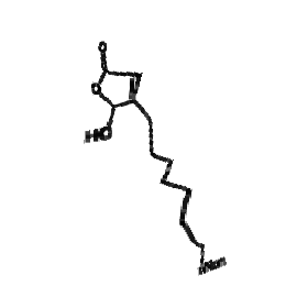 CCCCCCCCCCCCCCCCC1=CC(=O)OC1O